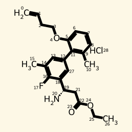 C=CCCOc1cccc(C)c1-c1cc(C)c(F)c([C@@H](N)CC(=O)OCC)c1.Cl